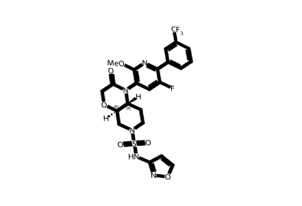 COc1nc(-c2cccc(C(F)(F)F)c2)c(F)cc1N1C(=O)CO[C@@H]2CN(S(=O)(=O)Nc3ccon3)CC[C@H]21